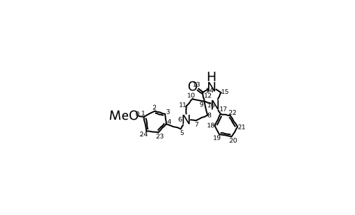 COc1ccc(CN2CCC3(CC2)C(=O)NCN3c2ccccc2)cc1